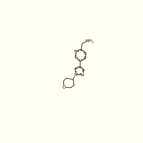 NCc1ccc(-c2cnn(C3CCOCC3)c2)cn1